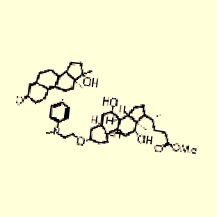 COC(=O)CC[C@@H](C)C1CC[C@H]2[C@@H]3[C@H](O)C[C@@H]4C[C@@H](OCCN(C)c5ccc([C@H]6C[C@@]7(C)C(CC[C@]7(C)O)C7CCC8=CC(=O)CCC8=C76)cc5)CC[C@]4(C)[C@H]3C[C@H](O)[C@]12C